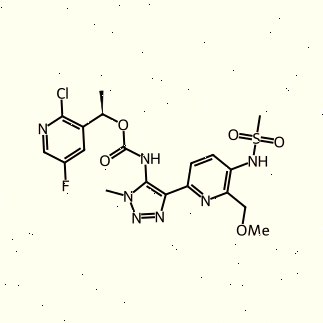 COCc1nc(-c2nnn(C)c2NC(=O)O[C@H](C)c2cc(F)cnc2Cl)ccc1NS(C)(=O)=O